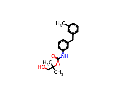 Cc1cccc(Cc2cccc(NC(=O)OC(C)(C)CO)c2)c1